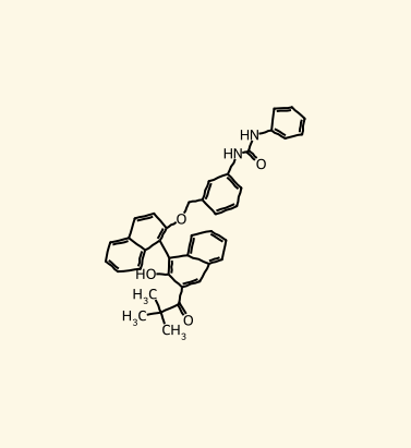 CC(C)(C)C(=O)c1cc2ccccc2c(-c2c(OCc3cccc(NC(=O)Nc4ccccc4)c3)ccc3ccccc23)c1O